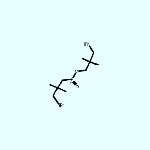 CC(C)CC(C)(C)CO[PH](=O)CC(C)(C)CC(C)C